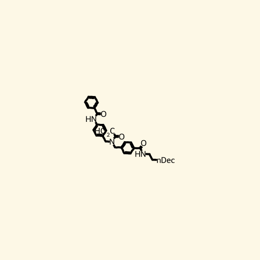 CCCCCCCCCCCCNC(=O)c1ccc(CN(Cc2ccc(NC(=O)c3ccccc3)cc2)C(=O)C(=O)O)cc1